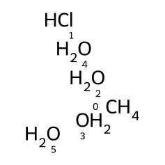 C.Cl.O.O.O.O